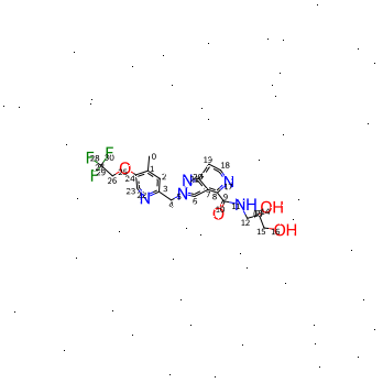 Cc1cc(Cn2cc3c(C(=O)NC[C@@H](O)CO)nccc3n2)ncc1OCC(F)(F)F